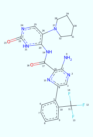 Nc1ncc(-c2ccccc2C(F)(F)F)nc1C(=O)Nc1[nH]c(=O)ncc1N1CCCCC1